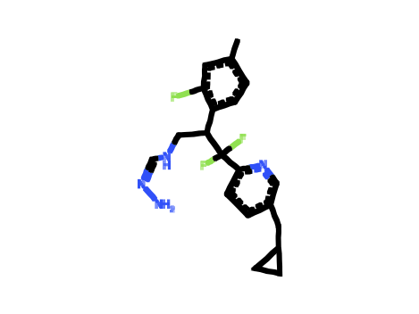 Cc1ccc(C(CN/C=N\N)C(F)(F)c2ccc(CC3CC3)cn2)c(F)c1